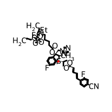 C=CCOP(=O)(OCC=C)OC(CCC(=O)O[C@@](Cn1cncn1)(c1ccc(F)cc1F)[C@@H](C)S[C@H]1CO[C@H](C=CC=Cc2ccc(C#N)cc2F)OC1)CN(CC)CC